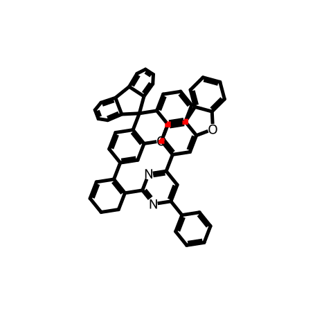 C1=CC(c2ccc3c(c2)Oc2ccccc2C32c3ccccc3-c3ccccc32)=C(c2nc(-c3ccccc3)cc(-c3ccc4c(c3)oc3ccccc34)n2)CC1